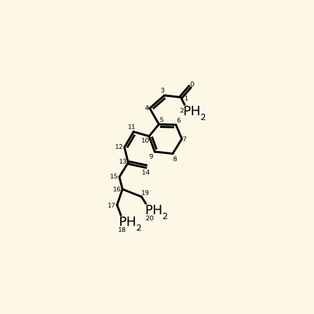 C=C(P)/C=C\C1=CCCC=C1/C=C\C(=C)CC(CP)CP